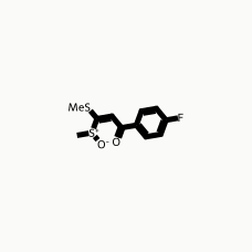 CSC(=CC(=O)c1ccc(F)cc1)[S+](C)[O-]